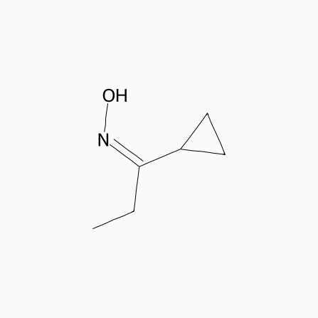 CC/C(=N/O)C1CC1